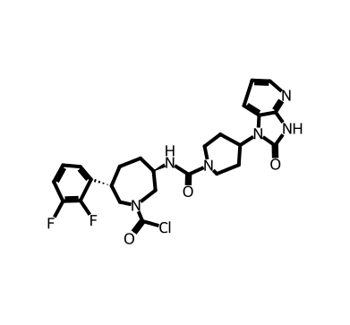 O=C(Cl)N1C[C@H](NC(=O)N2CCC(n3c(=O)[nH]c4ncccc43)CC2)CC[C@@H](c2cccc(F)c2F)C1